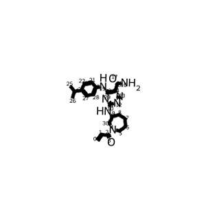 C=CC(=O)N1CCCC[C@H](Nc2nnc(C(N)=O)c(Nc3ccc(C(C)C)cc3)n2)C1